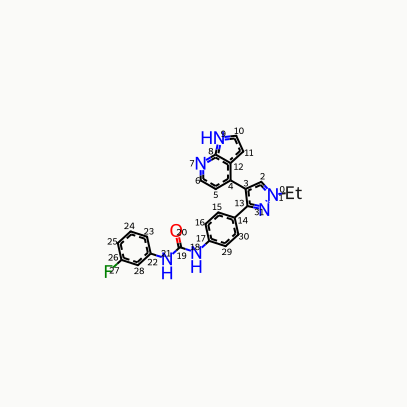 CCn1cc(-c2ccnc3[nH]ccc23)c(-c2ccc(NC(=O)Nc3cccc(F)c3)cc2)n1